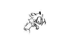 CCCCC1CCCCC1.OCC1CO1